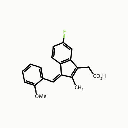 COc1ccccc1C=C1C(C)=C(CC(=O)O)c2cc(F)ccc21